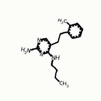 CCCCNc1nc(N)ncc1CCc1ccccc1C